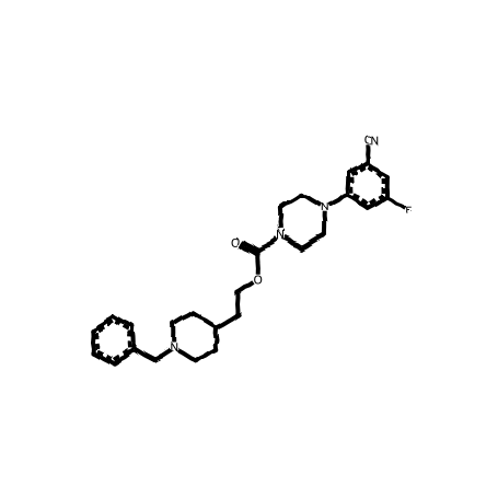 N#Cc1cc(F)cc(N2CCN(C(=O)OCCC3CCN(Cc4ccccc4)CC3)CC2)c1